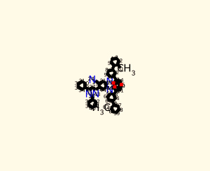 Cc1ccccc1-c1ccc2c(c1)c1ccccc1n2-c1cc(C#N)c(-c2cc(-c3ccccc3)nc(-c3ccccc3)n2)cc1-n1c2ccccc2c2cc(-c3ccccc3C)ccc21